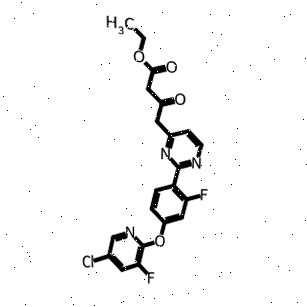 CCOC(=O)CC(=O)Cc1ccnc(-c2ccc(Oc3ncc(Cl)cc3F)cc2F)n1